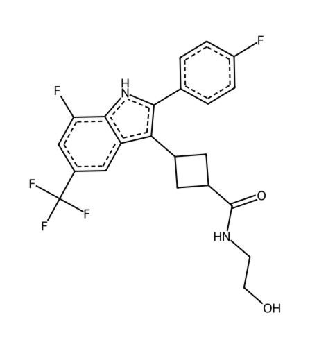 O=C(NCCO)C1CC(c2c(-c3ccc(F)cc3)[nH]c3c(F)cc(C(F)(F)F)cc23)C1